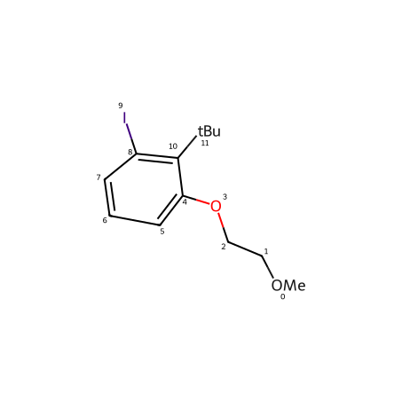 COCCOc1cccc(I)c1C(C)(C)C